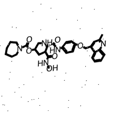 Cc1cc(COc2ccc(NC(=O)[C@H]3NCC(OC(=O)N4CCCCCC4)CC3C(=O)NO)cc2)c2ccccc2n1